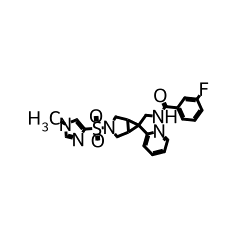 Cn1cnc(S(=O)(=O)N2CC3C(C2)C3(CNC(=O)c2cccc(F)c2)c2ccccn2)c1